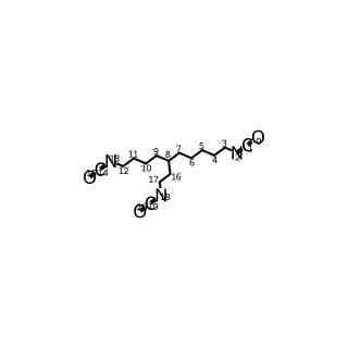 O=C=NCCCCCC(CCCCN=C=O)CCN=C=O